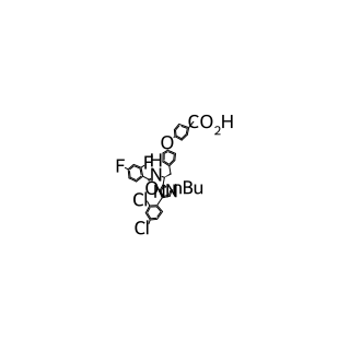 CCCCn1cc(-c2ccc(Cl)cc2Cl)nc1[C@H](Cc1ccc(Oc2ccc(C(=O)O)cc2)cc1)NC(=O)c1ccc(F)cc1F